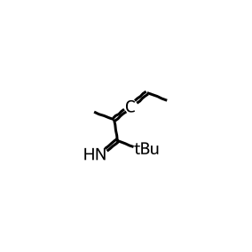 CC=C=C(C)C(=N)C(C)(C)C